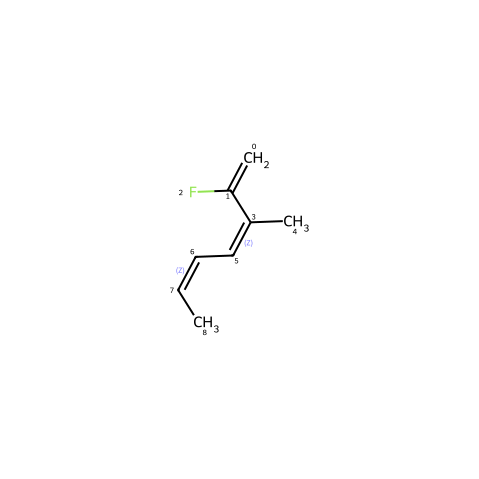 C=C(F)/C(C)=C\C=C/C